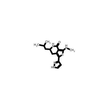 CNc1sc(-c2cc[nH]n2)c2c1C(=O)NC(CC(C)C)C2